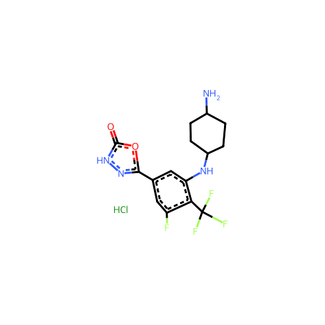 Cl.NC1CCC(Nc2cc(-c3n[nH]c(=O)o3)cc(F)c2C(F)(F)F)CC1